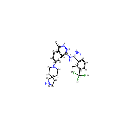 Cc1c([C@@H](N)Nc2nnc(C)c3ccc(N4CCC5(CCNC5)CC4)cc23)cccc1C(F)(F)F